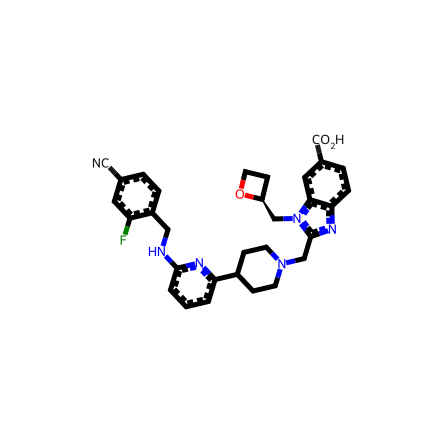 N#Cc1ccc(CNc2cccc(C3CCN(Cc4nc5ccc(C(=O)O)cc5n4C[C@@H]4CCO4)CC3)n2)c(F)c1